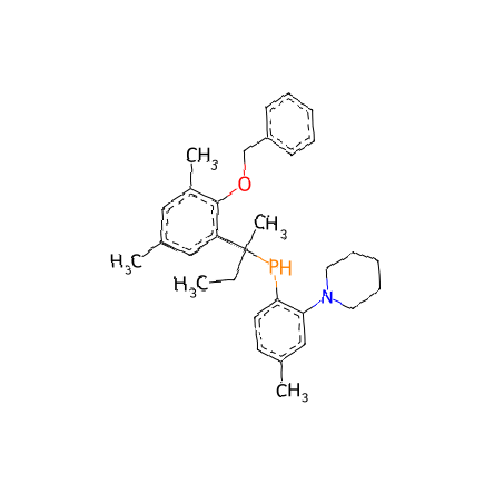 CCC(C)(Pc1ccc(C)cc1N1CCCCC1)c1cc(C)cc(C)c1OCc1ccccc1